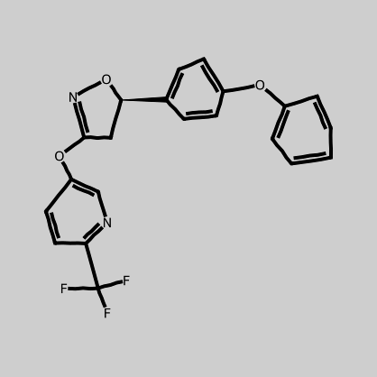 FC(F)(F)c1ccc(OC2=NO[C@@H](c3ccc(Oc4ccccc4)cc3)C2)cn1